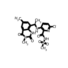 Cc1cc([C@@H](C)Nc2ccc(Cl)nc2C(=O)NS(C)(=O)=O)c2[nH]c(=O)n(C)c(=O)c2c1